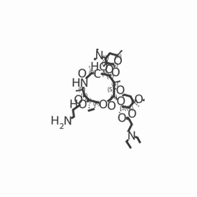 CC[C@H]1OC(=O)[C@H](C)[C@@H](OC2C[C@@](C)(OC)[C@@H](OC(=O)CCN(CC)CC)[C@H](C)O2)[C@H](C)[C@@H](O[C@@H]2O[C@H](C)C[C@H](N(C)C)[C@@H]2O)[C@](C)(OC)C[C@@H](C)C(=O)N[C@H](C)[C@@H](OCCCN)[C@]1(C)O